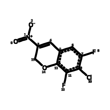 O=[N+]([O-])C1=Cc2cc(F)c(Cl)c(F)c2OC1